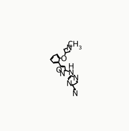 CN1CC(Oc2ccccc2-c2cc(Nc3cnc(C#N)cn3)no2)C1